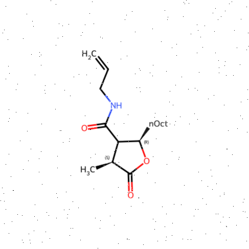 C=CCNC(=O)C1[C@H](C)C(=O)O[C@@H]1CCCCCCCC